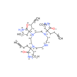 C#CCCC(CC(=O)O)(C(N)=O)N1CCNCCN(C(CCC#C)(CC(=O)O)C(N)=O)CCN(C(CCC#C)(CC(=O)O)C(N)=O)CC1